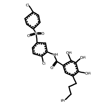 CC(C)CCCc1cc(C(=O)Nc2cc(S(=O)(=O)c3ccc(Cl)cc3)ccc2Cl)c(O)c(O)c1O